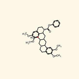 CCC1CN2CCc3cc(OC)c(OC)cc3C2CC1CC1c2cc(OC)c(OC)cc2CCN1C(=O)Oc1ccccc1